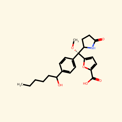 CCCCCC(O)c1ccc([C@](OC)(c2ccc(C(=O)O)o2)C2CCC(=O)N2)cc1